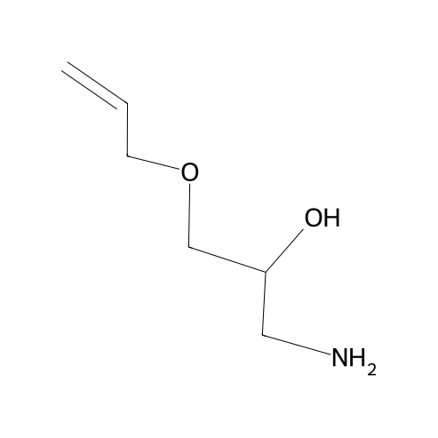 C=CCOCC(O)CN